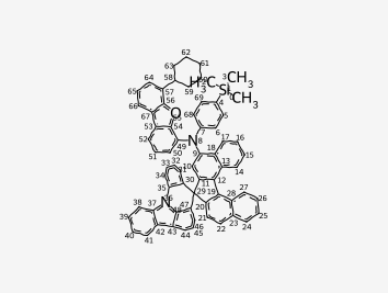 C[Si](C)(C)c1ccc(N(c2cc3c(c4ccccc24)-c2c(ccc4ccccc24)C32c3ccccc3-n3c4ccccc4c4cccc2c43)c2cccc3c2oc2c(C4CCCCC4)cccc23)cc1